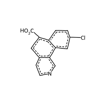 O=C(O)c1cc2ccncc2c2cc(Cl)ccc12